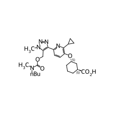 CCCCN(C)C(=O)OCc1c(-c2ccc(O[C@H]3CCC[C@H](C(=O)O)C3)c(C3CC3)n2)nnn1C